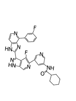 O=C(Nc1cncc(-c2ncc3[nH]nc(-c4nc5c(-c6cccc(F)c6)nccc5[nH]4)c3c2F)c1)C1CCCCC1